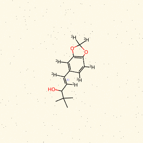 [2H]/C(=C(/[2H])C(O)C(C)(C)C)c1c([2H])c([2H])c2c(c1[2H])OC([2H])([2H])O2